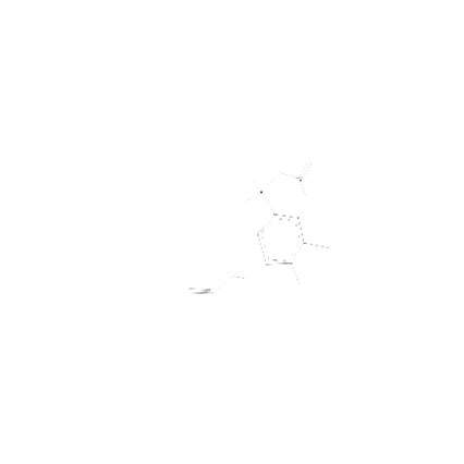 C=CCOc1cc2c(c(C)c1C)OC(=O)CC2(CC)CC